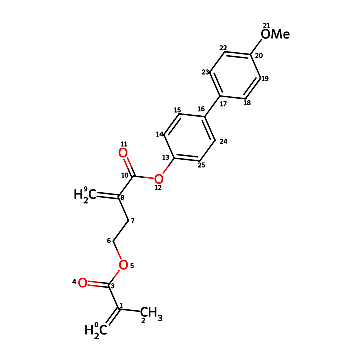 C=C(C)C(=O)OCCC(=C)C(=O)Oc1ccc(-c2ccc(OC)cc2)cc1